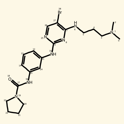 CN(C)CCCNc1nc(Nc2cccc(NC(=O)N3CCCC3)c2)ncc1Br